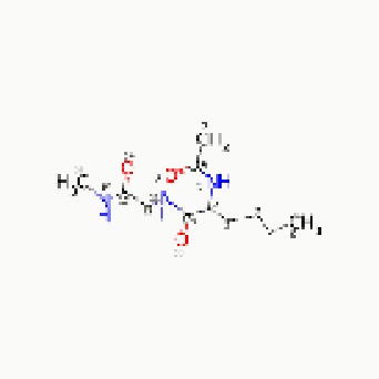 CCCCC(NC(C)=O)C(=O)NCC(=O)NC